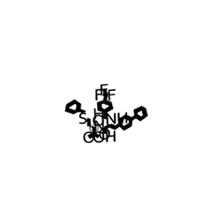 O=C(N[C@@H](CCSCc1ccccc1)C(=O)O)C(=Cc1ccc(-c2ccccc2)cc1)NC(=O)c1ccc(C(F)(F)F)cc1